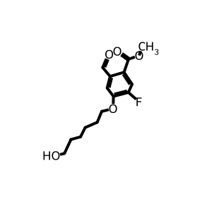 COC(=O)c1cc(F)c(OCCCCCCO)cc1C=O